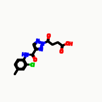 Cc1ccc(NC(=O)c2cnn(C(=O)CCC(=O)O)n2)c(Cl)c1